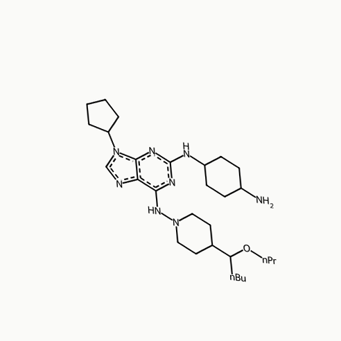 CCCCC(OCCC)C1CCN(Nc2nc(NC3CCC(N)CC3)nc3c2ncn3C2CCCC2)CC1